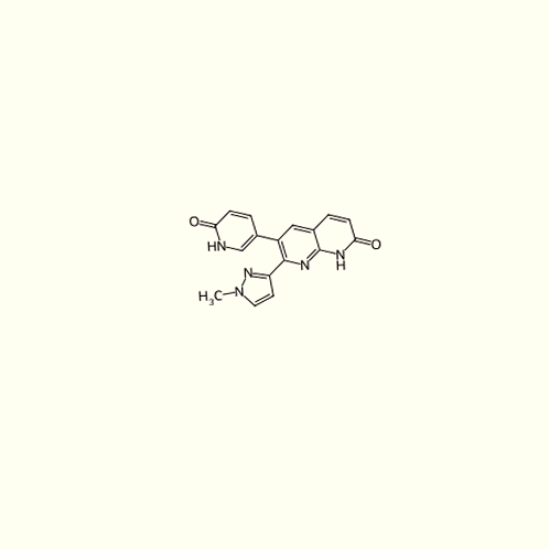 Cn1ccc(-c2nc3[nH]c(=O)ccc3cc2-c2ccc(=O)[nH]c2)n1